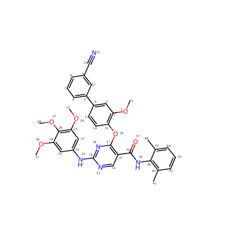 COc1cc(-c2cccc(C#N)c2)ccc1Oc1nc(Nc2cc(OC)c(OC)c(OC)c2)ncc1C(=O)Nc1c(C)cccc1C